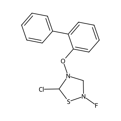 FN1CN(Oc2ccccc2-c2ccccc2)C(Cl)S1